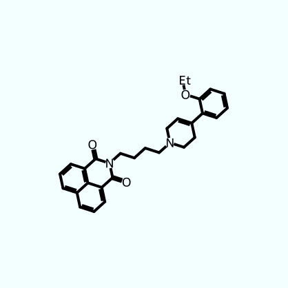 CCOc1ccccc1C1=CCN(CCCCN2C(=O)c3cccc4cccc(c34)C2=O)CC1